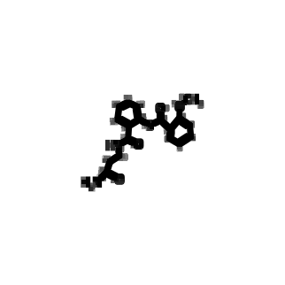 COc1ccccc1C(=O)Sc1ccccc1C(=O)NCCC(N)=O